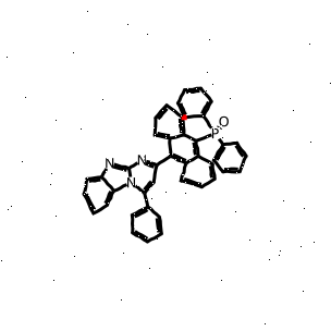 O=P(c1ccccc1)(c1ccccc1)c1c2ccccc2c(-c2cc(-c3ccccc3)n3c(n2)nc2ccccc23)c2ccccc12